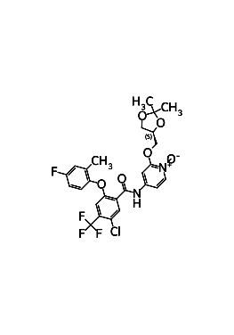 Cc1cc(F)ccc1Oc1cc(C(F)(F)F)c(Cl)cc1C(=O)Nc1cc[n+]([O-])c(OC[C@H]2COC(C)(C)O2)c1